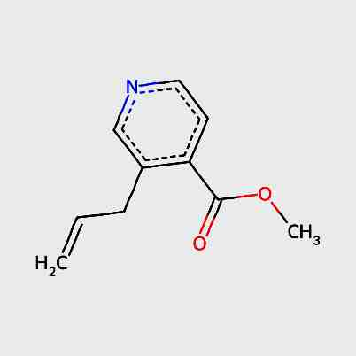 C=CCc1cnccc1C(=O)OC